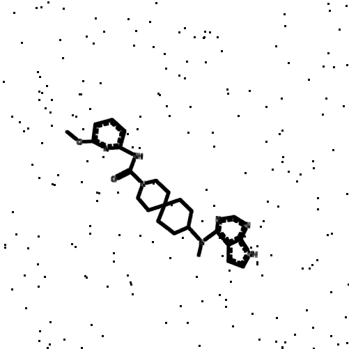 COc1cccc(NC(=O)N2CCC3(CCC(N(C)c4ncnc5[nH]ccc45)CC3)CC2)n1